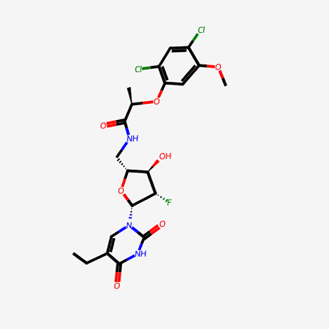 CCc1cn([C@@H]2O[C@H](CNC(=O)[C@@H](C)Oc3cc(OC)c(Cl)cc3Cl)[C@@H](O)[C@@H]2F)c(=O)[nH]c1=O